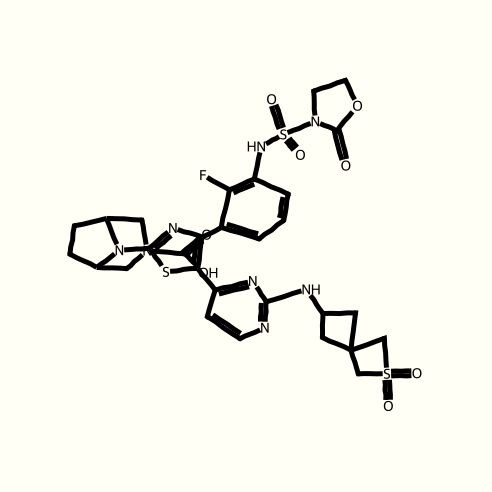 O=C(O)N1CC2CCC(C1)N2c1nc(-c2cccc(NS(=O)(=O)N3CCOC3=O)c2F)c(-c2ccnc(NC3CC4(C3)CS(=O)(=O)C4)n2)s1